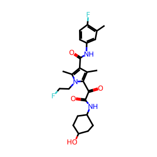 Cc1cc(NC(=O)c2c(C)c(C(=O)C(=O)NC3CCC(O)CC3)n(CCF)c2C)ccc1F